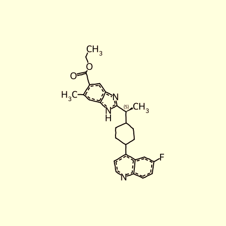 CCOC(=O)c1cc2nc([C@@H](C)C3CCC(c4ccnc5ccc(F)cc45)CC3)[nH]c2cc1C